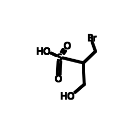 O=S(=O)(O)C(CO)CBr